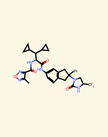 Cc1nonc1C(=O)N[C@H](C(=O)Nc1ccc2c(c1)CC(C(C)C)(N1CC(C(F)(F)F)NC1=O)C2)C(C1CC1)C1CC1